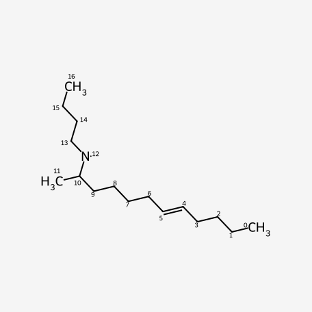 CCCCC=CCCCCC(C)[N]CCCC